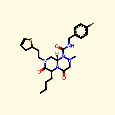 CCCC[C@H]1C(=O)N(CCC2CC=CS2)C[C@H]2N1C(=O)CN(C)N2C(=O)NCc1ccc(F)cc1